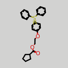 O=C(OCCOc1ccc([SH](c2ccccc2)c2ccccc2)cc1)C1CCCC1